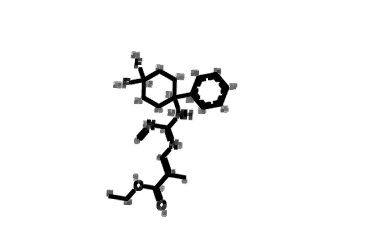 C=N/C(=N\C=C(/C)C(=O)OCC)NC1(c2ccccc2)CCC(F)(F)CC1